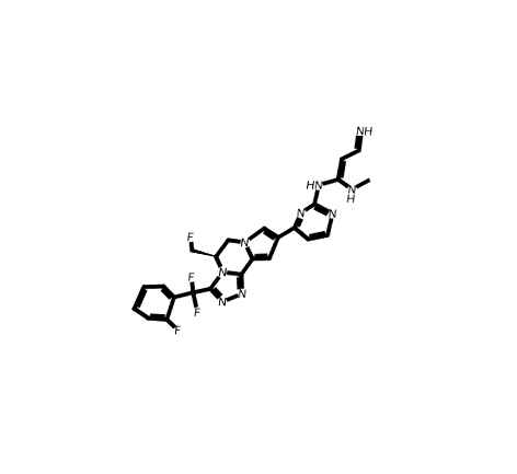 CN/C(=C\C=N)Nc1nccc(-c2cc3n(c2)C[C@H](CF)n2c-3nnc2C(F)(F)c2ccccc2F)n1